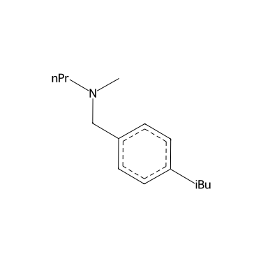 CCCN(C)Cc1ccc(C(C)CC)cc1